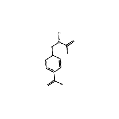 C=C(C)C1=CCC(CN(CC)C(=C)C)C=C1